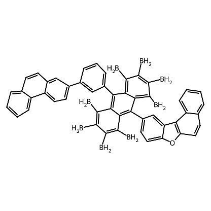 Bc1c(B)c(B)c2c(-c3ccc4oc5ccc6ccccc6c5c4c3)c3c(B)c(B)c(B)c(B)c3c(-c3cccc(-c4ccc5c(ccc6ccccc65)c4)c3)c2c1B